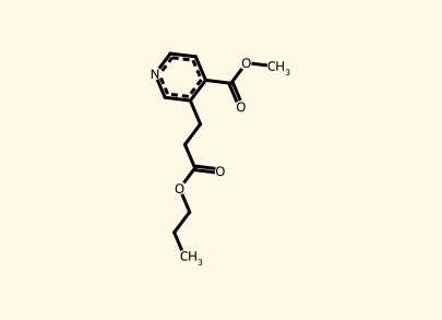 CCCOC(=O)CCc1cnccc1C(=O)OC